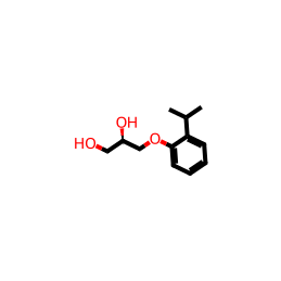 CC(C)c1ccccc1OC[C@H](O)CO